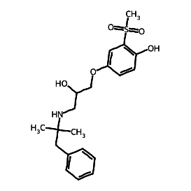 CC(C)(Cc1ccccc1)NCC(O)COc1ccc(O)c(S(C)(=O)=O)c1